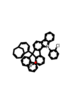 Clc1ccccc1-n1c2ccccc2c2ccc3c(c21)-c1cccc(Br)c1C3(C1=CC=CC2CC=CC=C1C2)c1cccc2ccccc12